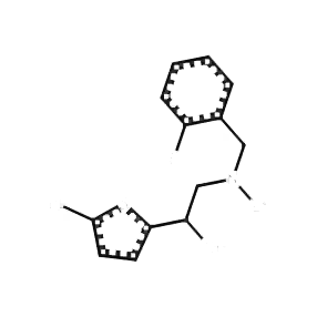 CCN(Cc1ccccc1F)CC(O)c1ccc(Cl)s1